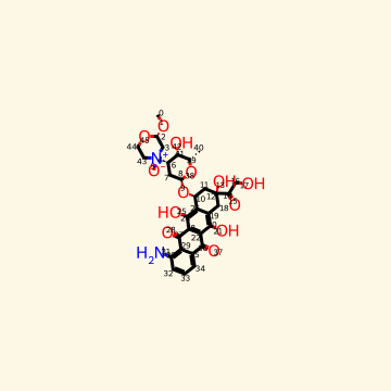 CO[C@@H]1C[N+]([O-])([C@H]2C[C@H](O[C@H]3C[C@](O)(C(=O)CO)Cc4c(O)c5c(c(O)c43)C(=O)c3c(N)cccc3C5=O)O[C@@H](C)[C@H]2O)CCO1